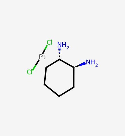 N[C@H]1CCCC[C@@H]1N.[Cl][Pt][Cl]